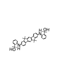 CC(C)(O)c1ccccc1Nc1ccc2c(c1)C(C)(C)c1cc3c(cc1-2)C(C)(C)c1cc(Nc2ccccc2C(C)(C)O)ccc1-3